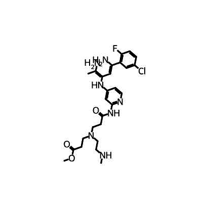 CNCCN(CCC(=O)Nc1cc(NC(/C=C(\N)c2cc(Cl)ccc2F)=C(\C)N)ccn1)CCC(=O)OC